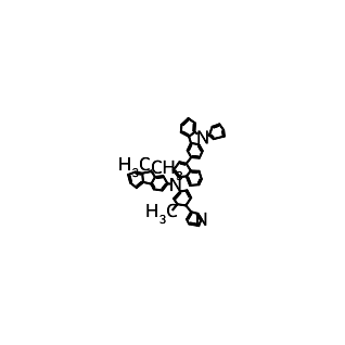 CC1C=C(N(c2ccc3c(c2)C(C)(C)c2ccccc2-3)c2ccc(-c3ccc4c(c3)c3ccccc3n4-c3ccccc3)c3ccccc23)C=CC1c1cccnc1